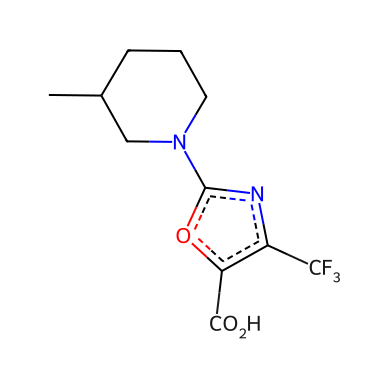 CC1CCCN(c2nc(C(F)(F)F)c(C(=O)O)o2)C1